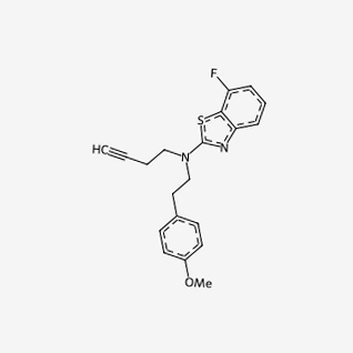 C#CCCN(CCc1ccc(OC)cc1)c1nc2cccc(F)c2s1